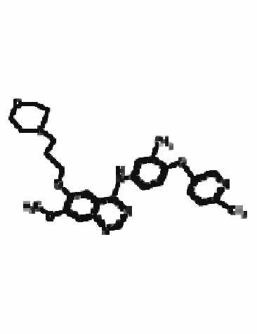 COc1cc2ncnc(Nc3ccc(Oc4ccc(C)nc4)c(C)c3)c2cc1OCCCN1CCOCC1